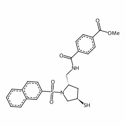 COC(=O)c1ccc(C(=O)NC[C@@H]2C[C@@H](S)CN2S(=O)(=O)c2ccc3ccccc3c2)cc1